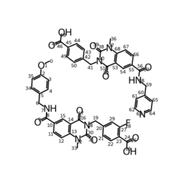 COc1ccc(CNC(=O)c2ccc3c(c2)c(=O)n(Cc2ccc(C(=O)O)c(F)c2)c(=O)n3C)cc1.Cn1c(=O)n(Cc2ccc(C(=O)O)cc2)c(=O)c2cc(C(=O)NCc3ccncc3)ccc21